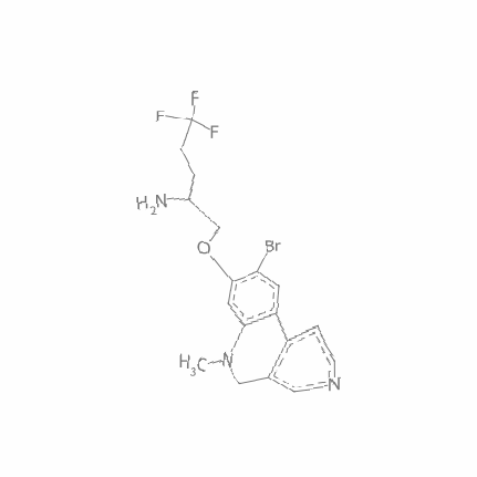 CN1Cc2cnccc2-c2cc(Br)c(OCC(N)CCC(F)(F)F)cc21